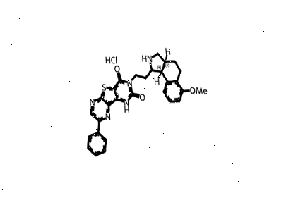 COc1cccc2c1CC[C@H]1CNC(CCn3c(=O)[nH]c4c(sc5ncc(-c6ccccc6)nc54)c3=O)[C@@H]21.Cl